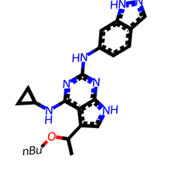 CCCCOC(C)c1c[nH]c2nc(Nc3ccc4cn[nH]c4c3)nc(NC3CC3)c12